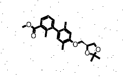 COC(=O)c1cccc(-c2cc(C)c(OC[C@H]3COC(C)(C)O3)cc2C)c1C